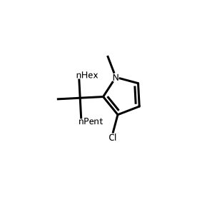 CCCCCCC(C)(CCCCC)c1c(Cl)ccn1C